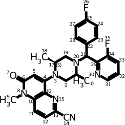 CC1CN(c2cc(=O)n(C)c3ccc(C#N)nc23)[C@@H](C)CN1C(c1ccc(F)cc1)c1ncccc1F